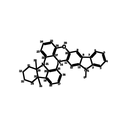 Cn1c2ccccc2c2cc3c(cc21)N1c2cccc4c2N(c2cccc(c21)O3)C1(C)CCCCC41C